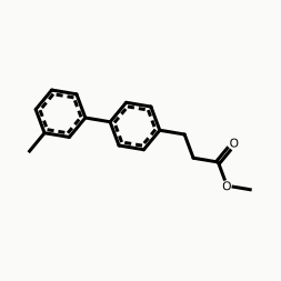 COC(=O)CCc1ccc(-c2cccc(C)c2)cc1